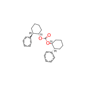 O=C(O[C@H]1CCCC[C@@H]1c1ccccc1)O[C@H]1CCCC[C@@H]1c1ccccc1